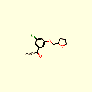 COC(=O)c1cc(Br)cc(OCC2CCCO2)c1